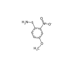 COc1ccc(SN)c([N+](=O)[O-])c1